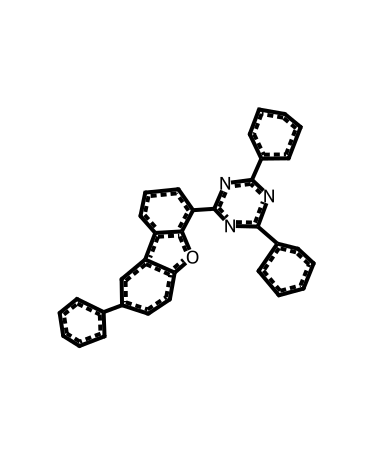 c1ccc(-c2ccc3oc4c(-c5nc(-c6ccccc6)nc(-c6ccccc6)n5)cccc4c3c2)cc1